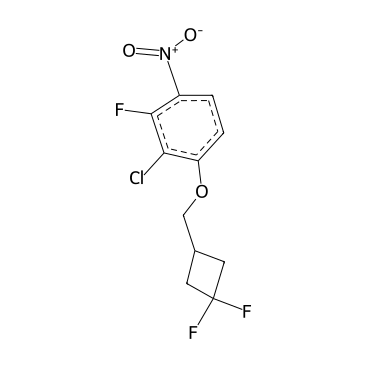 O=[N+]([O-])c1ccc(OCC2CC(F)(F)C2)c(Cl)c1F